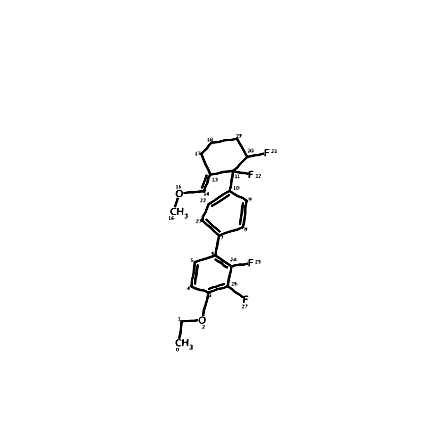 CCOc1ccc(-c2ccc(C3(F)C(=COC)CCCC3F)cc2)c(F)c1F